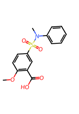 COc1ccc(S(=O)(=O)N(C)c2ccccc2)cc1C(=O)O